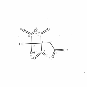 O=P(=O)CC(P(=O)=O)(P(=O)=O)C(O)(O)P(=O)=O